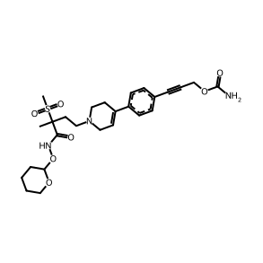 CC(CCN1CC=C(c2ccc(C#CCOC(N)=O)cc2)CC1)(C(=O)NOC1CCCCO1)S(C)(=O)=O